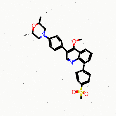 COc1c(-c2ccc(N3CC(C)O[C@@H](C)C3)cc2)cnc2c(-c3ccc(S(C)(=O)=O)cc3)cccc12